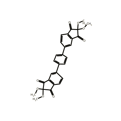 COC1(OC)C(=O)c2ccc(-c3ccc(-c4ccc5c(c4)C(=O)C(OC)(OC)C5=O)cc3)cc2C1=O